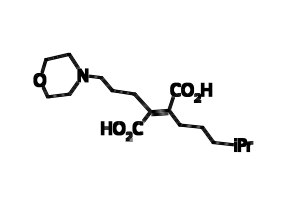 CC(C)CCC/C(C(=O)O)=C(/CCCN1CCOCC1)C(=O)O